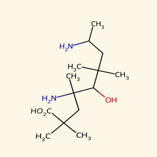 CC(N)CC(C)(C)C(O)C(C)(N)CC(C)(C)C(=O)O